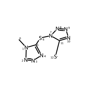 Cn1nnnc1Sn1nnnc1[S]